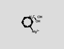 CO.Cl.[Mg+2][c]1ccccc1